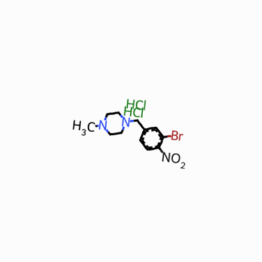 CN1CCN(Cc2ccc([N+](=O)[O-])c(Br)c2)CC1.Cl.Cl